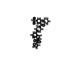 CS(=O)(=O)c1ccc(N2CCCCC2)c(C(=O)N2CCN(c3ccnc4c3ccn4S(=O)(=O)c3ccco3)CC2)c1